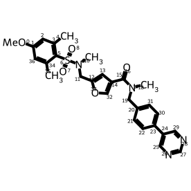 COc1cc(C)c(S(=O)(=O)N(C)Cc2cc(C(=O)N(C)Cc3ccc(-c4cncnc4)cc3)co2)c(C)c1